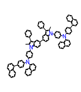 Cc1c(-c2ccccc2)c2cc(-c3ccc4c(c3)c(-c3ccccc3)c(C)n4-c3ccc(N(c4ccc(-c5cccc6ccccc56)cc4)c4cccc5ccccc45)cc3)ccc2n1-c1ccc(N(c2ccc(-c3cccc4ccccc34)cc2)c2cccc3ccccc23)cc1